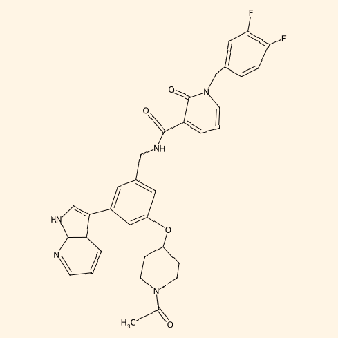 CC(=O)N1CCC(Oc2cc(CNC(=O)c3cccn(Cc4ccc(F)c(F)c4)c3=O)cc(C3=CNC4N=CC=CC34)c2)CC1